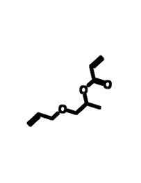 C=CCOCC(C)OC(=O)C=C